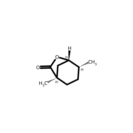 C[C@@H]1CC[C@]2(C)C[C@@H]1OC2=O